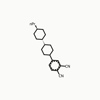 CCC[C@H]1CC[C@H](C2CCC(c3ccc(C#N)c(C#N)c3)CC2)CC1